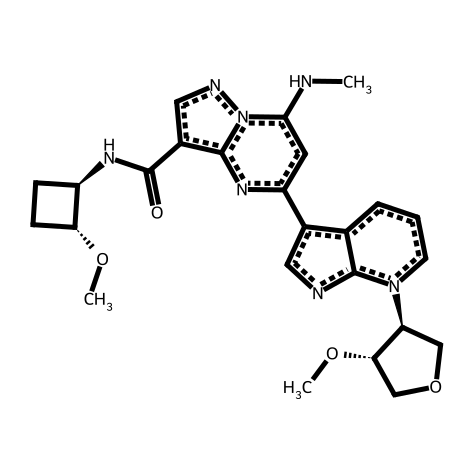 CNc1cc(-c2cnc3n([C@H]4COC[C@@H]4OC)cccc2-3)nc2c(C(=O)N[C@@H]3CC[C@H]3OC)cnn12